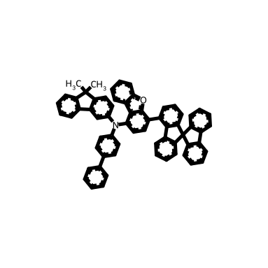 CC1(C)c2ccccc2-c2cc(N(c3ccc(-c4ccccc4)cc3)c3ccc(-c4cccc5c4-c4ccccc4C54c5ccccc5-c5ccccc54)c4oc5ccccc5c34)ccc21